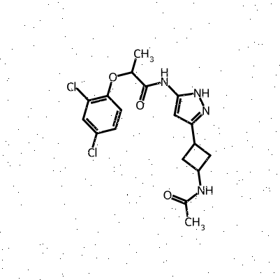 CC(=O)NC1CC(c2cc(NC(=O)C(C)Oc3ccc(Cl)cc3Cl)[nH]n2)C1